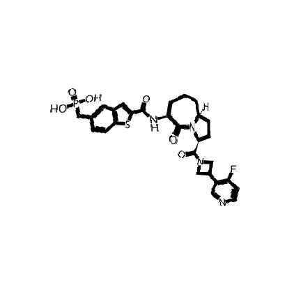 O=C(N[C@H]1CCC[C@H]2CC[C@@H](C(=O)N3CC(c4cnccc4F)C3)N2C1=O)c1cc2cc(CP(=O)(O)O)ccc2s1